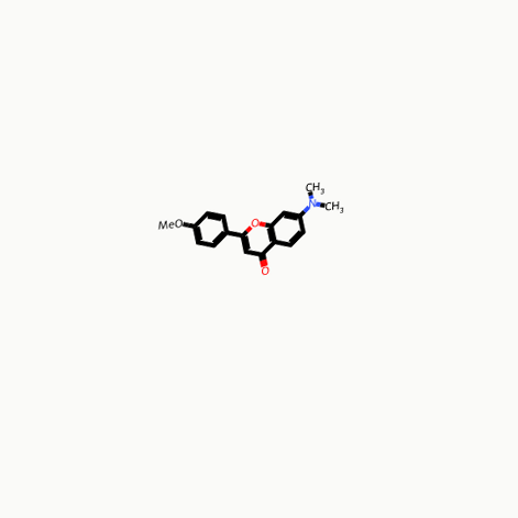 COc1ccc(-c2cc(=O)c3ccc(N(C)C)cc3o2)cc1